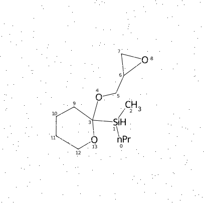 CCC[SiH](C)C1(OCC2CO2)CCCCO1